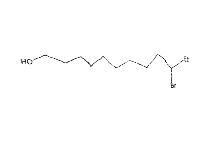 CCC(Br)CCCCCCCCCO